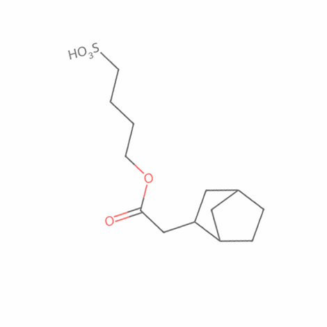 O=C(CC1CC2CCC1C2)OCCCCS(=O)(=O)O